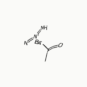 CC(=O)Br.[N-]=[N+]=N